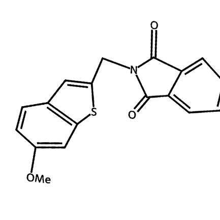 COc1ccc2cc(CN3C(=O)c4ccccc4C3=O)sc2c1